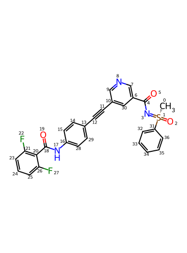 C[S@@](=O)(=NC(=O)c1cncc(C#Cc2ccc(NC(=O)c3c(F)cccc3F)cc2)c1)c1ccccc1